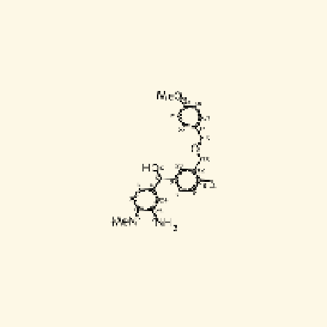 CNc1ccc(C(O)c2ccc(C)c(COCc3ccc(OC)cc3)c2)cc1N